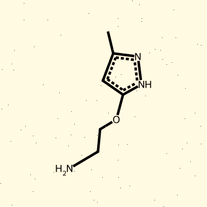 Cc1cc(OCCN)[nH]n1